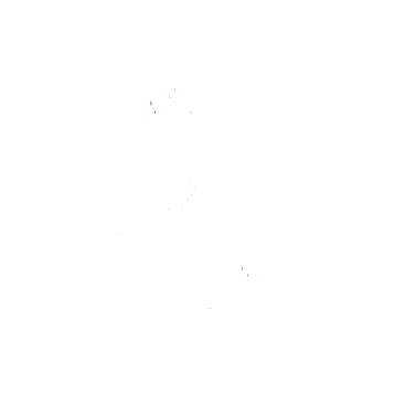 CC(C)N1CCc2cc(-c3cnn(C)c3)c(C(F)F)cc21